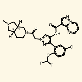 CN1C[C@H]2CCN(C(=O)Cn3cc(NC(=O)c4cnn5cccnc45)c(-c4cc(Cl)ccc4OC(F)F)n3)C[C@H]2C1